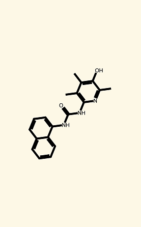 Cc1nc(NC(=O)Nc2cccc3ccccc23)c(C)c(C)c1O